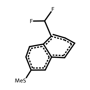 CSc1ccc2c([C](F)F)cccc2c1